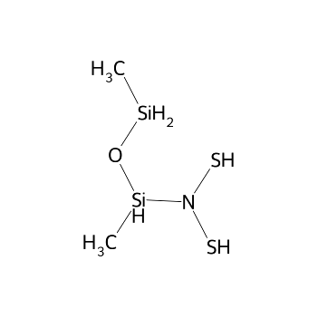 C[SiH2]O[SiH](C)N(S)S